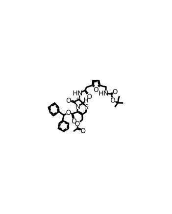 CC(=O)OCC1=C(C(=O)OC(c2ccccc2)c2ccccc2)N2C(=O)[C@@H](NC(=O)Cc3ccc(CNC(=O)OC(C)(C)C)o3)[C@@H]2SC1